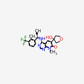 C#C[C@@H](Nc1ncnc2c1cc(C1(O)CCOCC1)c(=O)n2C)c1cccc(C(F)(F)F)c1C